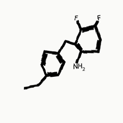 CCc1ccc(Cc2c(N)ccc(F)c2F)cc1